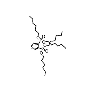 CCCCCCOP(=O)(OCCCCCC)c1cscc1P(=O)(OCCCCCC)OCCCCCC